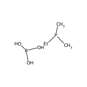 CCP(C)C.OB(O)O